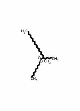 CCCCCCCCCCCCCCCCC(C(=O)OCCCCCCCCCC)C(C)CCCC